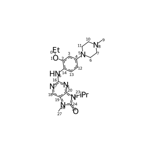 CCOc1cc(N2CCN(C)CC2)ccc1Nc1ncc2c(n1)n(C(C)C)c(=O)n2C